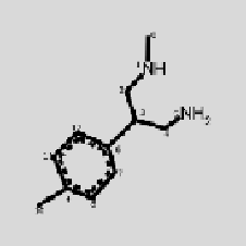 CNCC(CN)c1ccc(C)cc1